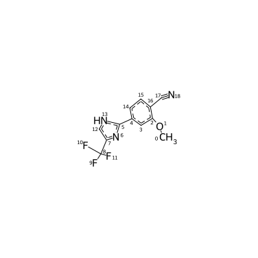 COc1cc(-c2nc(C(F)(F)F)c[nH]2)ccc1C#N